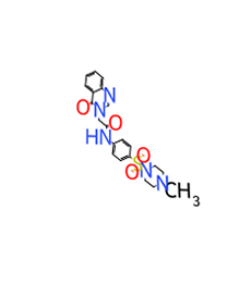 CN1CCN(S(=O)(=O)c2ccc(NC(=O)Cn3cnc4ccccc4c3=O)cc2)CC1